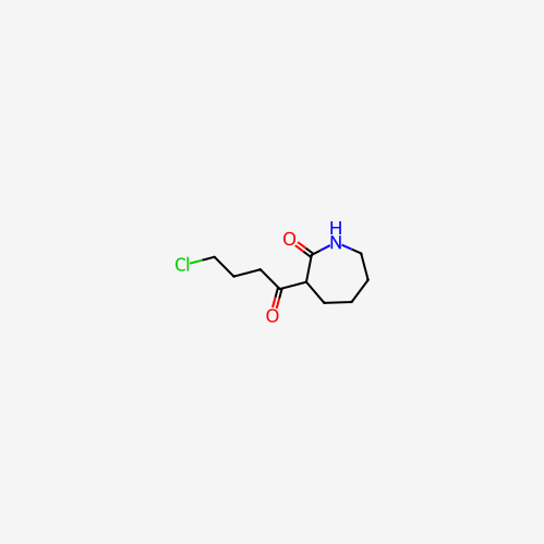 O=C(CCCCl)C1CCCCNC1=O